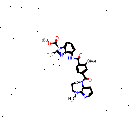 COc1cc(C(=O)N2CCCN(C)c3ncccc32)ccc1C(=O)Nc1cccc2c1nc(C)n2C(=O)OC(C)(C)C